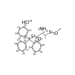 COSC[C@@H](N)C(=O)SC(c1ccccc1)(c1ccccc1)c1ccccc1.Cl